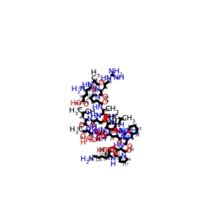 CCC(C)C(NC(=O)[C@H](CC1CCCCC1)NC(=O)C(CCCNC(=N)N)NC(=O)[C@H](CC(C)C)NC(=O)C(CCCNC(=N)N)NC(=O)[C@H](CO)NC(=O)C(NC(=O)[C@H](CC(C)C)NC(=O)C(CC(C)C)NC(=O)[C@H](C)NC(=O)C1CCCN1C(=O)[C@H](CCCNC(=N)N)NC(=O)C(C)NC(=O)[C@@H](N)CCC(=O)O)C(C)O)C(=O)N1CCC[C@H]1C(=O)NC(CCCCN)C(=O)O